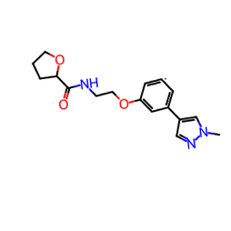 Cn1cc(-c2c[c]cc(OCCNC(=O)C3CCCO3)c2)cn1